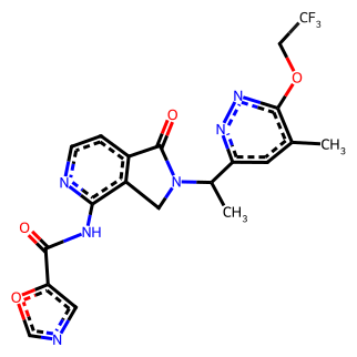 Cc1cc(C(C)N2Cc3c(ccnc3NC(=O)c3cnco3)C2=O)nnc1OCC(F)(F)F